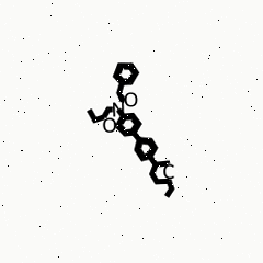 CCC1CCC(c2ccc(-c3ccc4c(c3)OC(CC)CN4C(=O)Cc3ccccc3)cc2)CC1